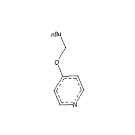 [CH2]CCCCOc1ccncc1